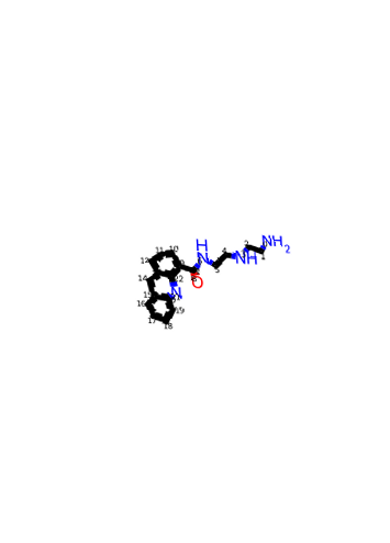 NCCNCCNC(=O)c1cccc2cc3ccccc3nc12